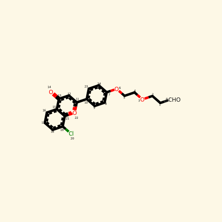 O=CCCOCCOc1ccc(-c2cc(=O)c3cccc(Cl)c3o2)cc1